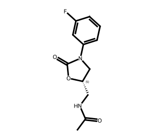 CC(=O)NC[C@H]1CN(c2cc[c]c(F)c2)C(=O)O1